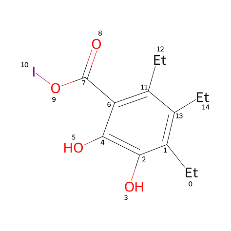 CCc1c(O)c(O)c(C(=O)OI)c(CC)c1CC